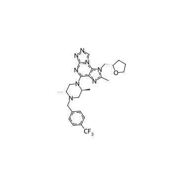 Cc1nc2c(N3C[C@@H](C)N(Cc4ccc(C(F)(F)F)cc4)C[C@@H]3C)nc3nncn3c2n1C[C@@H]1CCCO1